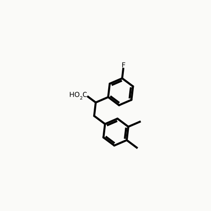 Cc1ccc(CC(C(=O)O)c2cccc(F)c2)cc1C